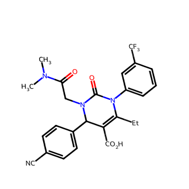 CCC1=C(C(=O)O)C(c2ccc(C#N)cc2)N(CC(=O)N(C)C)C(=O)N1c1cccc(C(F)(F)F)c1